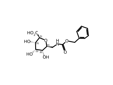 O=C(NC[C@@H]1O[C@H](C(=O)O)[C@@H](O)[C@@H](O)[C@H]1O)OCc1ccccc1